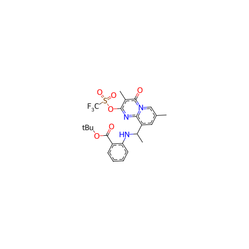 Cc1cc(C(C)Nc2ccccc2C(=O)OC(C)(C)C)c2nc(OS(=O)(=O)C(F)(F)F)c(C)c(=O)n2c1